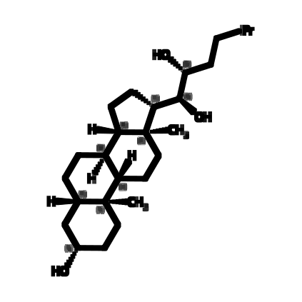 CC(C)CC[C@@H](O)[C@@H](O)[C@H]1CC[C@H]2[C@@H]3CC[C@H]4C[C@@H](O)CC[C@]4(C)[C@H]3CC[C@]12C